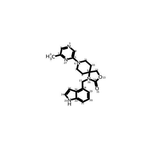 Cc1cncc(N2CCC3(CC2)COC(=O)N3Cc2cccc3[nH]ccc23)n1